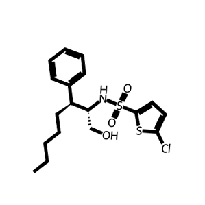 CCCCC[C@@H](c1ccccc1)[C@@H](CO)NS(=O)(=O)c1ccc(Cl)s1